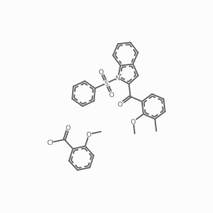 COc1c(C)cccc1C(=O)c1cc2ccccc2n1S(=O)(=O)c1ccccc1.COc1ccccc1C(=O)Cl